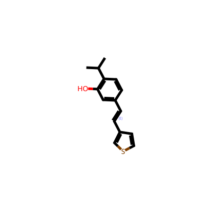 CC(C)c1ccc(/C=C/c2ccsc2)cc1O